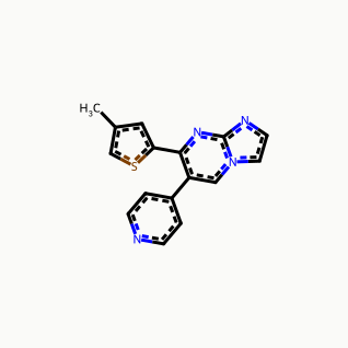 Cc1csc(-c2nc3nccn3cc2-c2ccncc2)c1